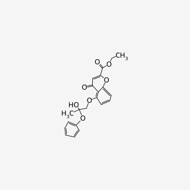 CCOC(=O)c1cc(=O)c2c(OCC(C)(O)Oc3ccccc3)cccc2o1